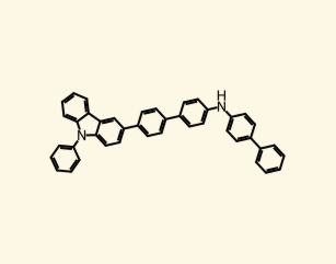 c1ccc(-c2ccc(Nc3ccc(-c4ccc(-c5ccc6c(c5)c5ccccc5n6-c5ccccc5)cc4)cc3)cc2)cc1